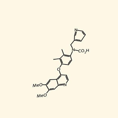 COc1cc2nccc(Oc3ccc(N(Cc4cccnc4)C(=O)O)c(C)c3C)c2cc1OC